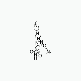 CCN1CCC(N2CCN(c3nc(/C=C4\SC(=O)NC4=O)cc(OCCN(C)C)n3)CC2)CC1